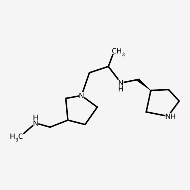 CNCC1CCN(CC(C)NC[C@H]2CCNC2)C1